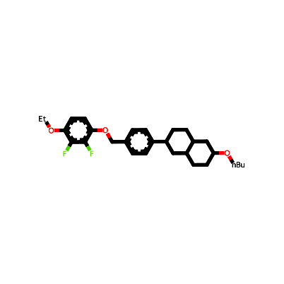 CCCCOC1CCC2CC(c3ccc(COc4ccc(OCC)c(F)c4F)cc3)CCC2C1